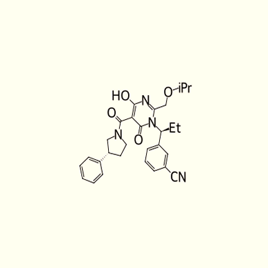 CC[C@@H](c1cccc(C#N)c1)n1c(COC(C)C)nc(O)c(C(=O)N2CC[C@H](c3ccccc3)C2)c1=O